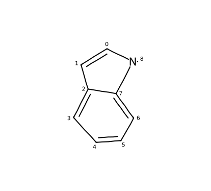 C1=Cc2ccccc2[N]1